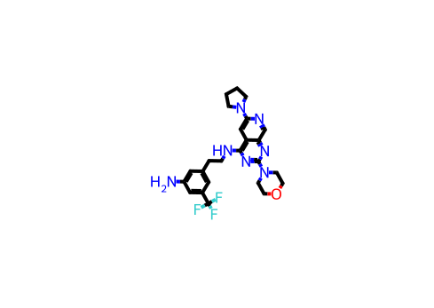 Nc1cc(CCNc2nc(N3CCOCC3)nc3cnc(N4CCCC4)cc23)cc(C(F)(F)F)c1